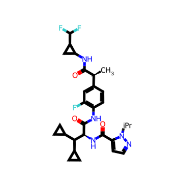 CC(C)n1nccc1C(=O)N[C@H](C(=O)Nc1ccc([C@H](C)C(=O)NC2CC2C(F)F)cc1F)C(C1CC1)C1CC1